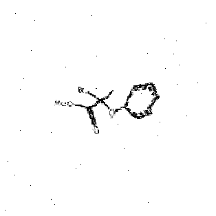 COC(=O)C(C)(Br)Oc1ccccc1